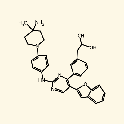 CC(O)Cc1cccc(-c2nc(Nc3ccc(N4CCC(C)(N)CC4)cc3)ncc2-c2cc3ccccc3o2)c1